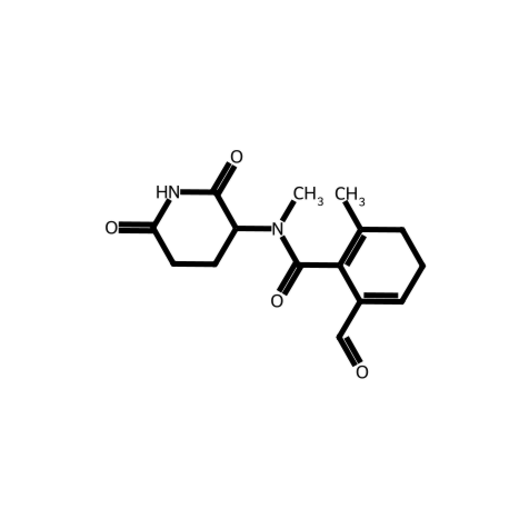 CC1=C(C(=O)N(C)C2CCC(=O)NC2=O)C(C=O)=CCC1